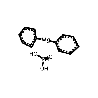 O=[PH](O)O.c1cc[c]([Mg][c]2ccccc2)cc1